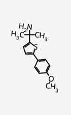 COc1ccc(-c2ccc(C(C)(C)N)s2)cc1